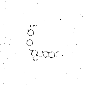 CCC[C@H]1CN(Cc2ccc(-c3ccc(OC)nc3)cc2)CCN1Cc1cc2ccc(Cl)cc2cn1